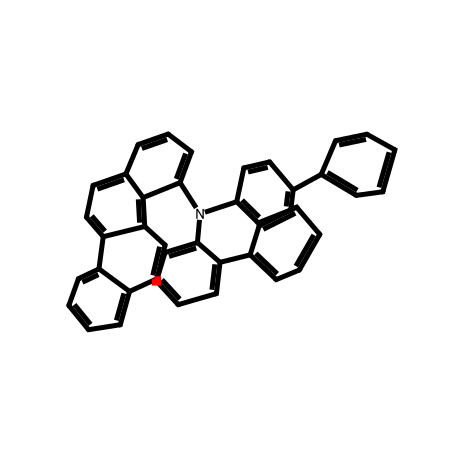 c1ccc(-c2ccc(N(c3ccccc3-c3ccccc3)c3cccc4ccc5c6ccccc6ccc5c34)cc2)cc1